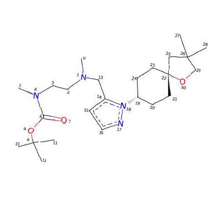 CN(CCN(C)C(=O)OC(C)(C)C)Cc1ccnn1[C@H]1CC[C@@]2(CC1)CC(C)(C)CO2